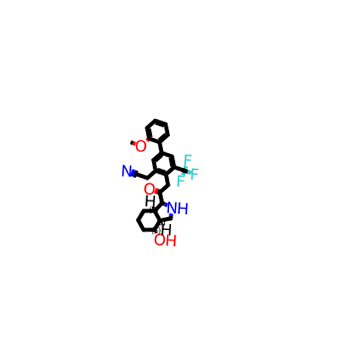 COc1ccccc1-c1cc(CC#N)c(CC(=O)C2NC[C@H]3[C@@H](O)CCC[C@@H]23)c(C(F)(F)F)c1